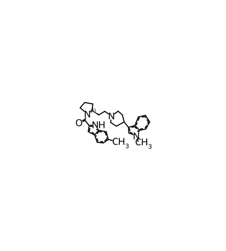 Cc1ccc2cc(C(=O)N3CCC[C@H]3CCN3CCC(c4cn(C)c5ccccc45)CC3)[nH]c2c1